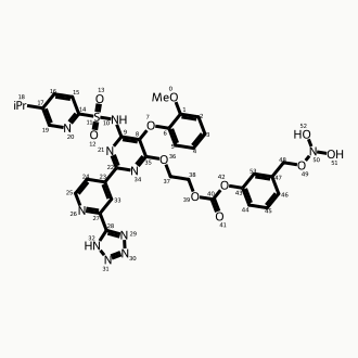 COc1ccccc1Oc1c(NS(=O)(=O)c2ccc(C(C)C)cn2)nc(-c2ccnc(-c3nnn[nH]3)c2)nc1OCCOC(=O)Oc1cccc(CON(O)O)c1